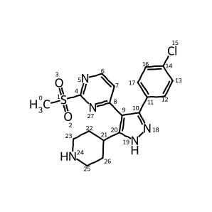 CS(=O)(=O)c1nccc(-c2c(-c3ccc(Cl)cc3)n[nH]c2C2CCNCC2)n1